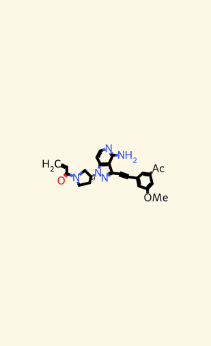 C=CC(=O)N1CC[C@H](n2nc(C#Cc3cc(OC)cc(C(C)=O)c3)c3c(N)nccc32)C1